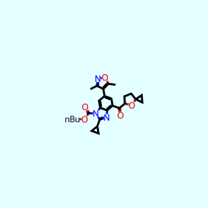 CCCCOC(=O)n1c(C2CC2)nc2c(C(=O)C3CCC4(CC4)O3)cc(-c3c(C)noc3C)cc21